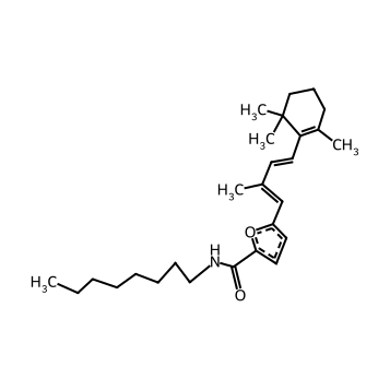 CCCCCCCCNC(=O)c1ccc(C=C(C)C=CC2=C(C)CCCC2(C)C)o1